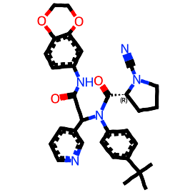 CC(C)(C)c1ccc(N(C(=O)[C@H]2CCCN2C#N)C(C(=O)Nc2ccc3c(c2)OCCO3)c2cccnc2)cc1